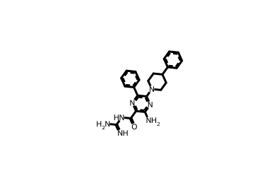 N=C(N)NC(=O)c1nc(-c2ccccc2)c(N2CCC(c3ccccc3)CC2)nc1N